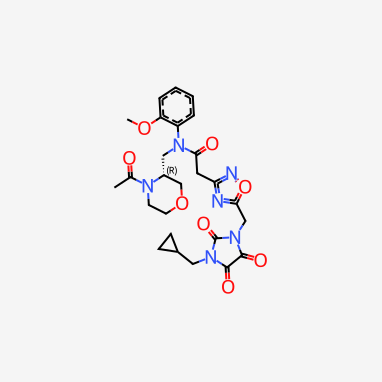 COc1ccccc1N(C[C@@H]1COCCN1C(C)=O)C(=O)Cc1noc(CN2C(=O)C(=O)N(CC3CC3)C2=O)n1